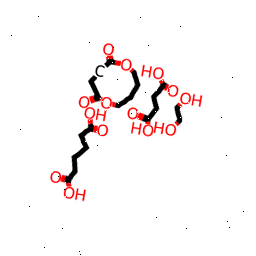 O=C(O)CCC(=O)O.O=C(O)CCCCC(=O)O.O=C1CCC(=O)OCCCCO1.OCCO